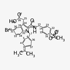 CC(C)c1ccc(Cn2c(C(=O)NCc3ccc(S(C)(=O)=O)cc3)c(CC(=O)O)c3cc(Br)ccc32)cc1